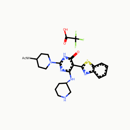 CC(=O)NC1CCN(c2nc(N[C@@H]3CCCNC3)c(-c3nc4ccccc4s3)c(=O)[nH]2)CC1.O=C(O)C(F)(F)F